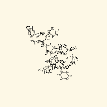 CCC[C@H](NC(=O)C1CC(Oc2cc(-c3ccccc3)nc3cc(OC)ccc23)C=C1C(=O)N[C@H](C(=O)N[C@H](C(=O)OC)C1CCCCC1)C(C)C)C(=O)O